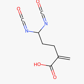 C=C(CCC(N=C=O)N=C=O)C(=O)O